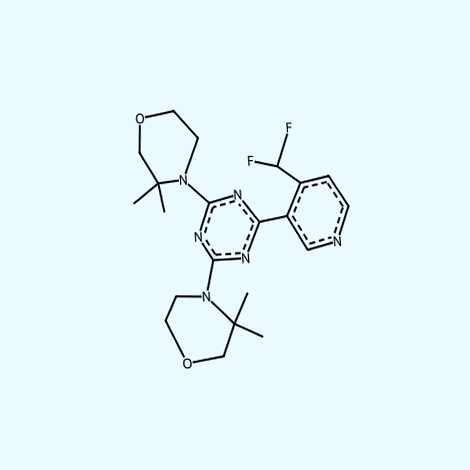 CC1(C)COCCN1c1nc(-c2cnccc2C(F)F)nc(N2CCOCC2(C)C)n1